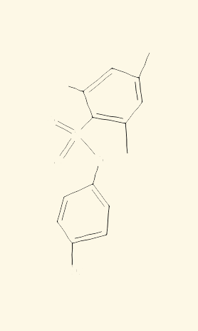 Cc1cc(C)c(S(=O)(=O)Oc2ccc(S(=O)(=O)O)cc2)c(C)c1